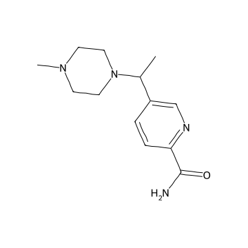 CC(c1ccc(C(N)=O)nc1)N1CCN(C)CC1